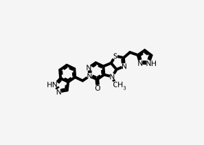 CN1c2c(cnn(Cc3cccc4[nH]ncc34)c2=O)C2SC(Cc3cc[nH]n3)=NC21